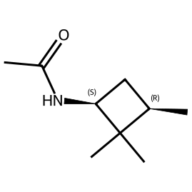 CC(=O)N[C@H]1C[C@@H](C)C1(C)C